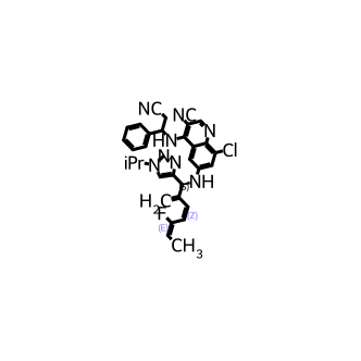 C=C(/C=C\C(F)=C/C)[C@H](Nc1cc(Cl)c2ncc(C#N)c(NC(CC#N)c3ccccc3)c2c1)c1cn(C(C)C)nn1